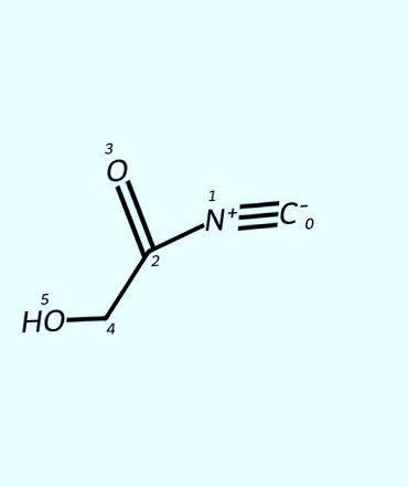 [C-]#[N+]C(=O)CO